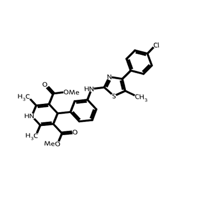 COC(=O)C1=C(C)NC(C)=C(C(=O)OC)C1c1cccc(Nc2nc(-c3ccc(Cl)cc3)c(C)s2)c1